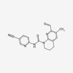 Cc1cc2c(nc1C=O)N(C(=O)Nc1ccc(C#N)cn1)CCC2